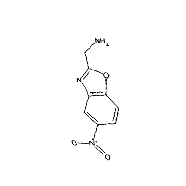 NCc1nc2cc([N+](=O)[O-])ccc2o1